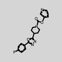 O=C(Oc1cccnc1)N1CCC(c2nnc(-c3ccc(F)cc3)o2)CC1